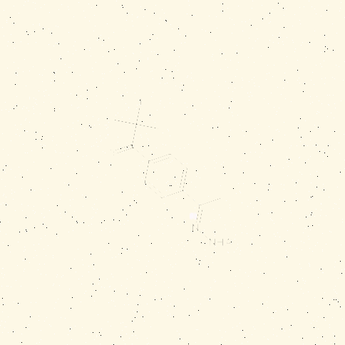 CC(=O)N/N=C(\C)c1ccc(C(=O)C(C)(C)I)cc1